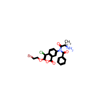 C[C@H](N)C(=O)N(C(=O)c1ccccc1)c1ccc2c(Cl)c(OCCBr)oc(=O)c2c1